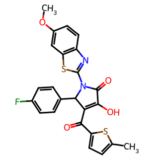 COc1ccc2nc(N3C(=O)C(O)=C(C(=O)c4ccc(C)s4)C3c3ccc(F)cc3)sc2c1